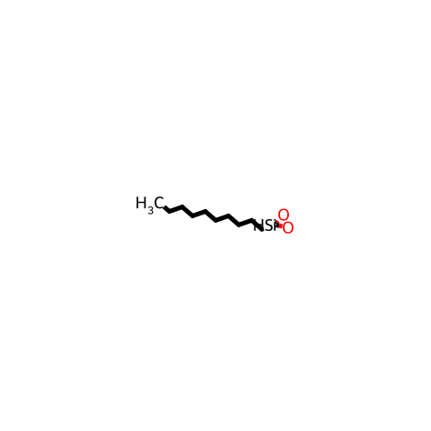 CCCCCCCCCC[SiH]1OO1